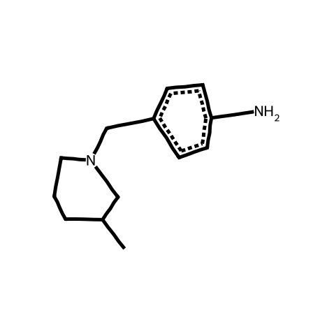 CC1CCCN(Cc2ccc(N)cc2)C1